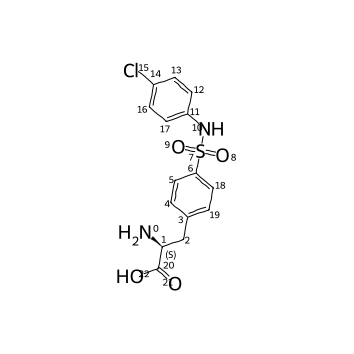 N[C@@H](Cc1ccc(S(=O)(=O)Nc2ccc(Cl)cc2)cc1)C(=O)O